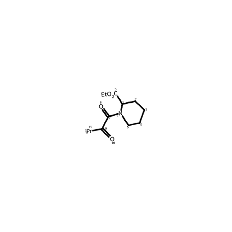 CCOC(=O)C1CCCCN1C(=O)C(=O)C(C)C